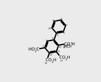 Cl.O=C(O)c1cc(-c2ccccc2)c(C(=O)O)c(C(=O)O)c1C(=O)O